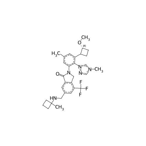 CO[C@@H]1CCC1c1cc(C)cc(N2Cc3c(cc(CNC4(C)CCC4)cc3C(F)(F)F)C2=O)c1-[n+]1cn(C)cn1